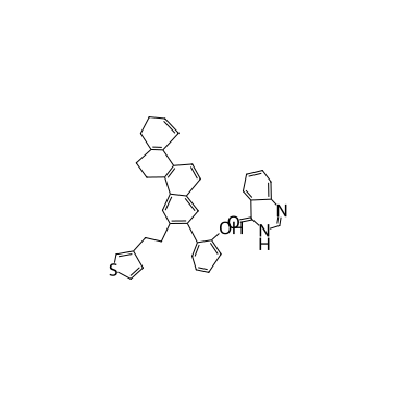 O=c1[nH]cnc2ccccc12.Oc1ccccc1-c1cc2ccc3c(c2cc1CCc1ccsc1)CCC1=C3C=CCC1